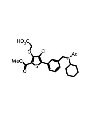 COC(=O)c1sc(-c2cccc(CN(C(C)=O)C3CCCCC3)c2)c(Cl)c1OCC(=O)O